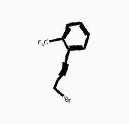 FC(F)(F)c1ccccc1C#CCBr